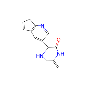 C=C1CNC(c2cnc3c(c2)C=CC3)C(=O)N1